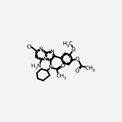 COc1cc(-c2nc3nc(Cl)cc(N)n3c2N(C(C)=O)C2CCCCC2)ccc1OC(C)=O